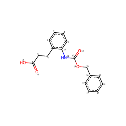 O=C(O)CCc1ccccc1NC(=O)OCc1ccccc1